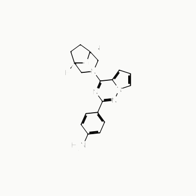 Nc1ccc(-c2nc(N3C[C@@H]4CC[C@@H](C3)O4)c3cccn3n2)cc1